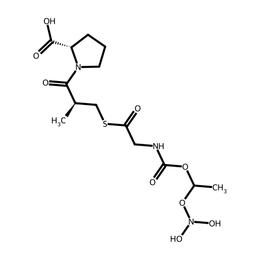 CC(OC(=O)NCC(=O)SC[C@@H](C)C(=O)N1CCC[C@H]1C(=O)O)ON(O)O